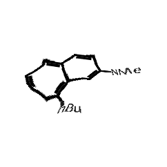 CCCCc1cccc2ccc(NC)cc12